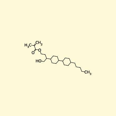 C=C(C)C(=O)OCCC(CO)C1CCC(C2CCC(CCCCC)CC2)CC1